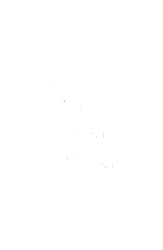 CN1CC[C@@H](NC(N)=O)C1